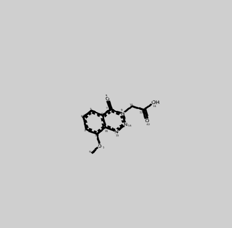 COc1cccc2c(=O)n(CC(=O)O)nnc12